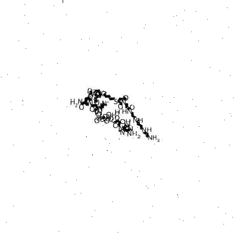 [N-]=[N+]=N[C@H]1[C@@H](OCc2cc(OCCCCSC3CC(=O)N(CCC(=O)NCCCNCCCCNCCCN)C3=O)ccc2[N+](=O)[O-])[C@H]([n+]2cccc(C(N)=O)c2)O[C@@H]1CO[PH](=O)OOP(=O)(O)OC[C@H]1O[C@@H](n2cnc3c(N)ncnc32)[C@H](O)[C@@H]1O